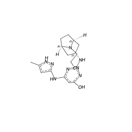 Cc1cc(Nc2cc(O)nc(N[C@@H]3C[C@H]4CC[C@@H](C3)N4CCC#N)n2)n[nH]1